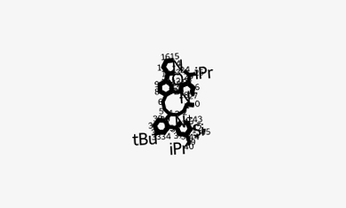 C=C1CC2C(CCc3ccc4c(oc5ncccc54)c3-c3cc(C(C)C(C)C)cc[n+]31)c1ccc(C(C)(C)C)cc1-c1cc(CC(C)C)c([Si](C)(C)C)c[n+]12